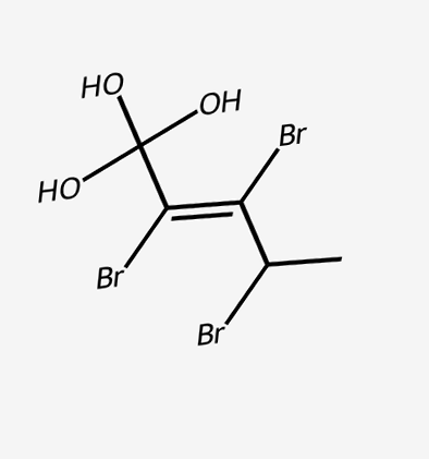 CC(Br)C(Br)=C(Br)C(O)(O)O